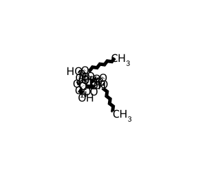 CCCCCCCCOP(=O)(O)OP(=O)(O)OC([O][Ti](=[O])[OH])(OP(=O)(O)OP(=O)(O)OCCCCCCCC)C(=O)O